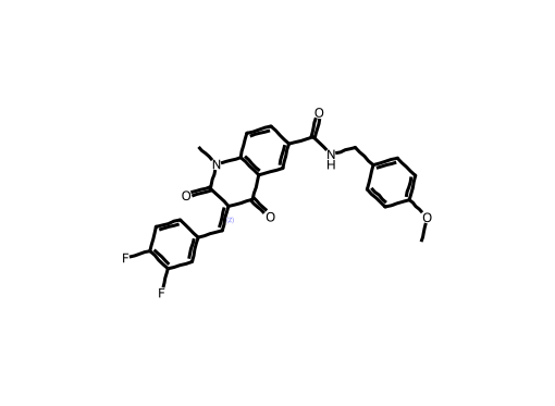 COc1ccc(CNC(=O)c2ccc3c(c2)C(=O)/C(=C/c2ccc(F)c(F)c2)C(=O)N3C)cc1